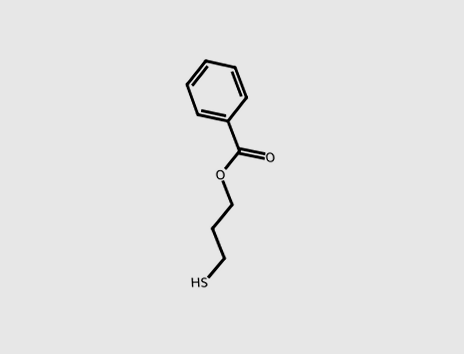 O=C(OCCCS)c1ccccc1